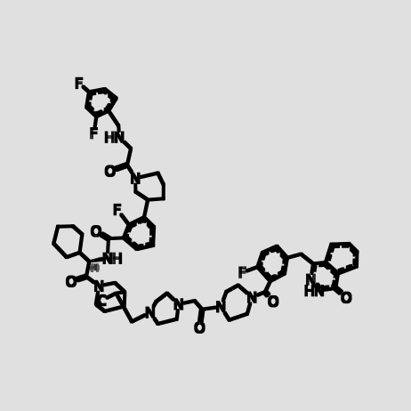 O=C(N[C@@H](C(=O)N1CC2CCC1CC2CN1CCN(CC(=O)N2CCN(C(=O)c3cc(Cc4n[nH]c(=O)c5ccccc45)ccc3F)CC2)CC1)C1CCCCC1)c1cccc(C2CCCN(C(=O)CNCc3ccc(F)cc3F)C2)c1F